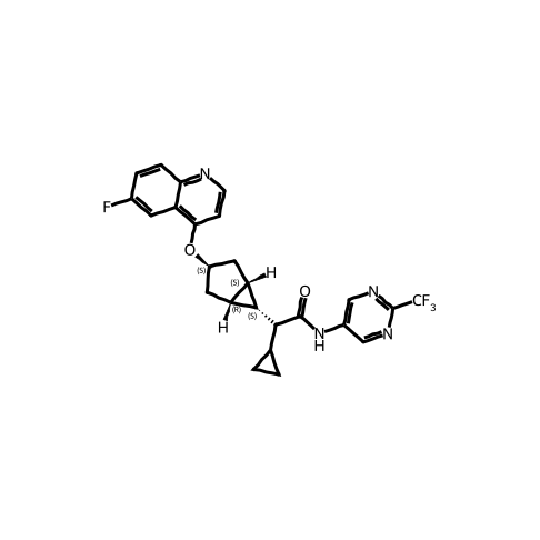 O=C(Nc1cnc(C(F)(F)F)nc1)C(C1CC1)[C@@H]1[C@@H]2C[C@@H](Oc3ccnc4ccc(F)cc34)C[C@@H]21